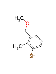 COCc1cccc(S)c1C